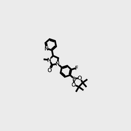 CN1C(=O)N(c2ccc(B3OC(C)(C)C(C)(C)O3)c(F)c2)CC1c1ccccn1